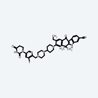 CCc1cc2c(cc1N1CCC(N3CCN(Cc4ncc(N5CCC(=O)NC5=O)cc4F)CC3)CC1)C(C)(C)c1[nH]c3cc(C#N)ccc3c1C2=O